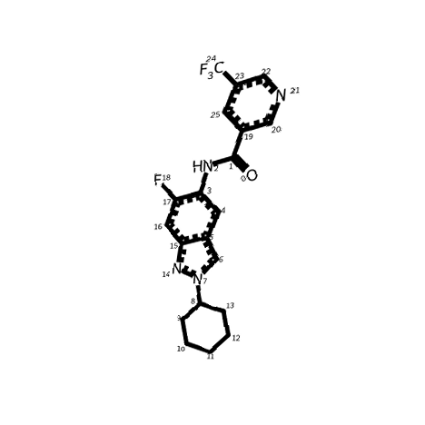 O=C(Nc1cc2cn(C3CCCCC3)nc2cc1F)c1cncc(C(F)(F)F)c1